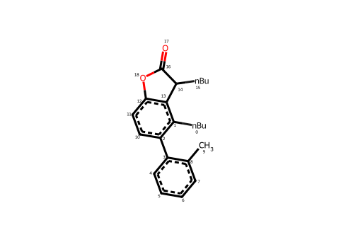 CCCCc1c(-c2ccccc2C)ccc2c1C(CCCC)C(=O)O2